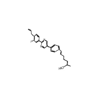 C=CCc1ccc(-c2ncc(-c3ccc(C=CCCCC(C)O)cc3)cn2)cc1F